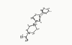 CCC(=O)N1CCN(c2ccc(-c3ncccn3)cc2)CC1